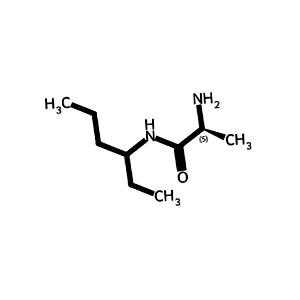 CCCC(CC)NC(=O)[C@H](C)N